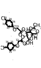 CC1OC[C@H]2O[C@@H](O)[C@H](OC(=O)COc3ccc(Cl)cc3)[C@@H](OC(=O)COc3ccc(Cl)cc3)[C@@H]2O1